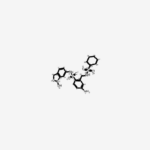 Nc1ccc(S(=O)(=O)Nc2ccc3c(c2)B(O)OC3)c(CNS(=O)(=O)C2CCCCC2)c1